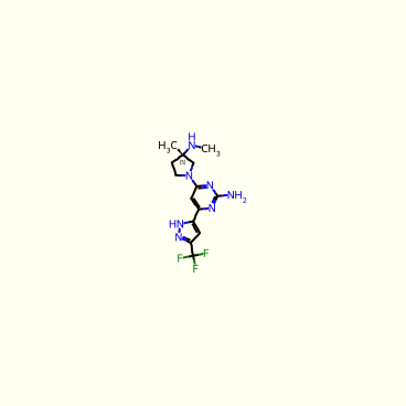 CN[C@@]1(C)CCN(c2cc(-c3cc(C(F)(F)F)n[nH]3)nc(N)n2)C1